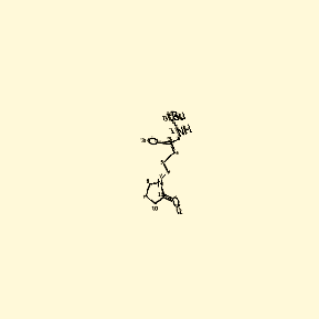 CC(C)(C)NC(=O)CCCN1CCCC1=O